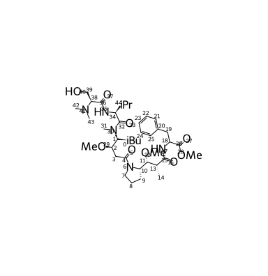 CC[C@H](C)[C@@H]([C@@H](CC(=O)N1CCC[C@H]1[C@H](OC)[C@@H](C)C(=O)NC(Cc1ccccc1)C(=O)OC)OC)N(C)C(=O)[C@@H](NC(=O)[C@H](CO)N(C)C)C(C)C